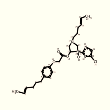 CC=CCCCc1ccc(OCC(=O)OC2CN(CCCC=CC)C[N+]2([O-])c2ncc(Cl)s2)cc1